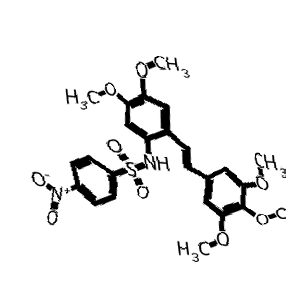 COc1cc(C=Cc2cc(OC)c(OC)c(OC)c2)c(NS(=O)(=O)c2ccc([N+](=O)[O-])cc2)cc1OC